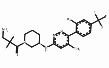 Cc1cc(N[C@@H]2CCCN(C(=O)C(F)(F)CN)C2)nnc1-c1ccc(C(F)(F)F)cc1O